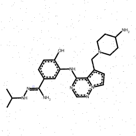 CC(C)N/N=C(\N)c1ccc(O)c(Nc2ncnn3ccc(CN4CCC(N)CC4)c23)c1